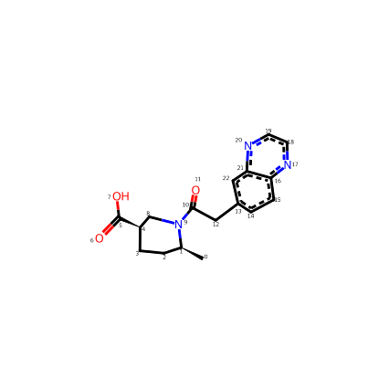 C[C@H]1CC[C@@H](C(=O)O)CN1C(=O)Cc1ccc2nccnc2c1